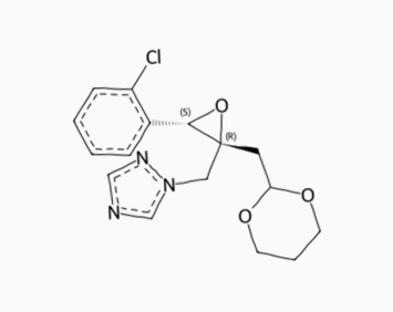 Clc1ccccc1[C@@H]1O[C@]1(CC1OCCCO1)Cn1cncn1